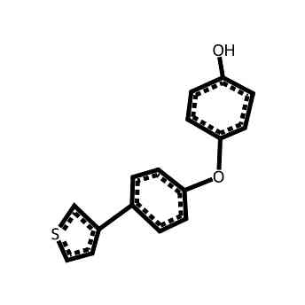 Oc1ccc(Oc2ccc(-c3ccsc3)cc2)cc1